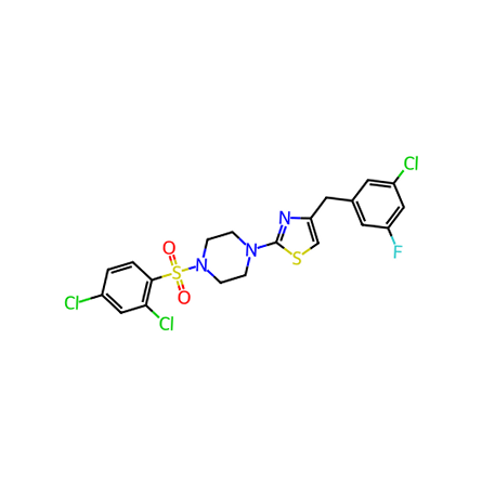 O=S(=O)(c1ccc(Cl)cc1Cl)N1CCN(c2nc(Cc3cc(F)cc(Cl)c3)cs2)CC1